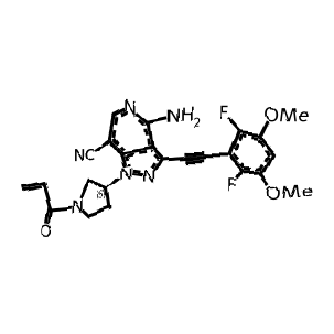 C=CC(=O)N1CC[C@H](n2nc(C#Cc3c(F)c(OC)cc(OC)c3F)c3c(N)ncc(C#N)c32)C1